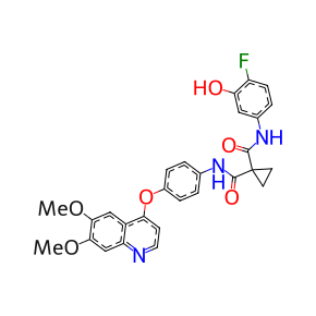 COc1cc2nccc(Oc3ccc(NC(=O)C4(C(=O)Nc5ccc(F)c(O)c5)CC4)cc3)c2cc1OC